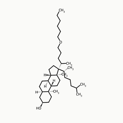 CCCCCCOCCCC(C)[C@@]1([C@H](C)CCCC(C)C)CC[C@H]2[C@@H]3CC[C@@H]4C[C@H](O)CC[C@]4(C)[C@H]3CC[C@@]21C